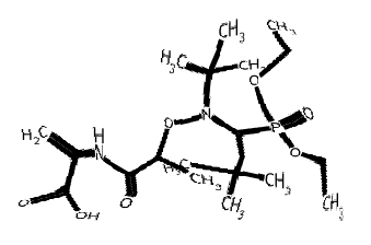 C=C(NC(=O)C(C)ON(C(C(C)(C)C)P(=O)(OCC)OCC)C(C)(C)C)C(=O)O